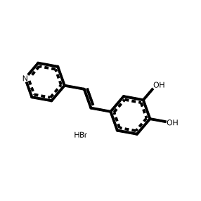 Br.Oc1ccc(C=Cc2ccncc2)cc1O